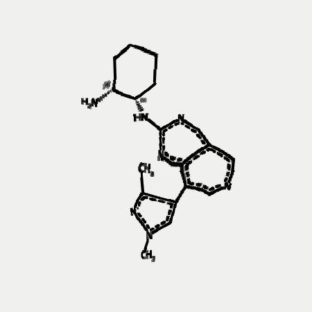 Cc1nn(C)cc1-c1cncc2cnc(N[C@H]3CCCC[C@H]3N)nc12